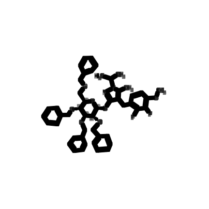 COc1ccc(Cc2c(O[C@@H]3O[C@H](COCc4ccccc4)[C@@H](OCc4ccccc4)[C@H](OCc4ccccc4)[C@H]3OCc3ccccc3)nn(C(C)C)c2C)c(F)c1F